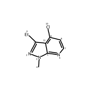 CCc1nn(C)c2nccc(Cl)c12